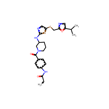 C=CC(=O)Nc1ccc(C(=O)N2CCCC(Nc3ncc(SCc4ncc(C(C)C)o4)s3)C2)cc1